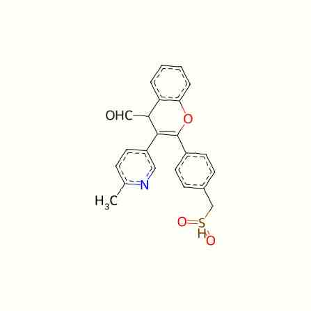 Cc1ccc(C2=C(c3ccc(C[SH](=O)=O)cc3)Oc3ccccc3C2C=O)cn1